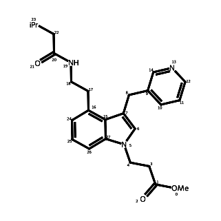 COC(=O)CCn1cc(Cc2cccnc2)c2c(CCNC(=O)CC(C)C)cccc21